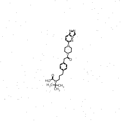 CC(C)(C)N(CCCc1ccc(CC(=O)N2CCN(c3ccc4nncn4n3)CC2)cc1)C(=O)O